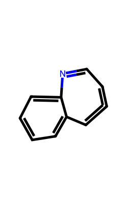 C1=CC=Nc2ccccc2C=1